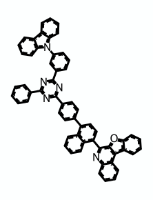 c1ccc(-c2nc(-c3ccc(-c4ccc(-c5nc6ccccc6c6c5oc5ccccc56)c5ccccc45)cc3)nc(-c3cccc(-n4c5ccccc5c5ccccc54)c3)n2)cc1